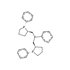 c1ccc(P(C[C@H]2CCC[P@]2c2ccccc2)C[C@H]2CCC[P@]2c2ccccc2)cc1